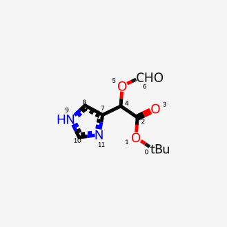 CC(C)(C)OC(=O)C(OC=O)c1c[nH]cn1